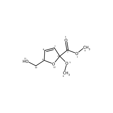 COC(=O)C1(OC)C=CC(CO)O1